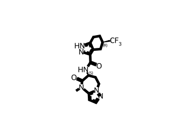 CN1C(=O)[C@@H](NC(=O)c2n[nH]c3c2C[C@H](C(F)(F)F)CC3)CCn2nccc21